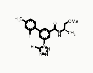 CCc1nnnn1-c1cc(C(=O)N[C@H](C)COC)cc(-c2ccc(C)cc2F)c1